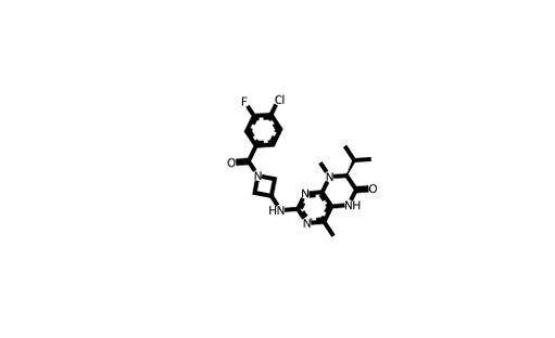 Cc1nc(NC2CN(C(=O)c3ccc(Cl)c(F)c3)C2)nc2c1NC(=O)[C@H](C(C)C)N2C